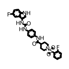 O=C(Nc1ccc(NC(=O)C2CCN(S(=O)(=O)c3ccccc3F)CC2)cc1)Nc1c[nH]c2ccc(F)cc12